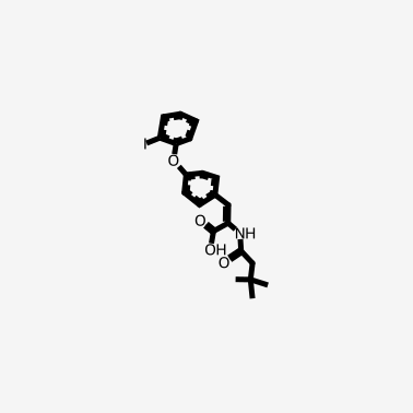 CC(C)(C)CC(=O)N/C(=C/c1ccc(Oc2ccccc2I)cc1)C(=O)O